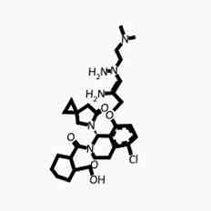 CN(C)CCN(N)/C=C(\N)COc1ccc(Cl)c2c1[C@@H](N1CC3(CC3)CC1=O)N(C(=O)C1CCCCC1C(=O)O)CC2